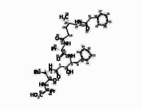 CC[C@H](C)[C@H](NC(=O)C[C@H](O)[C@H](Cc1ccccc1)NC(=O)[C@@H](NC(=O)CC[C@H](C)CNC(=O)Cc1ccccc1)C(C)C)C(=O)N[C@H](C(=O)O)C(C)C